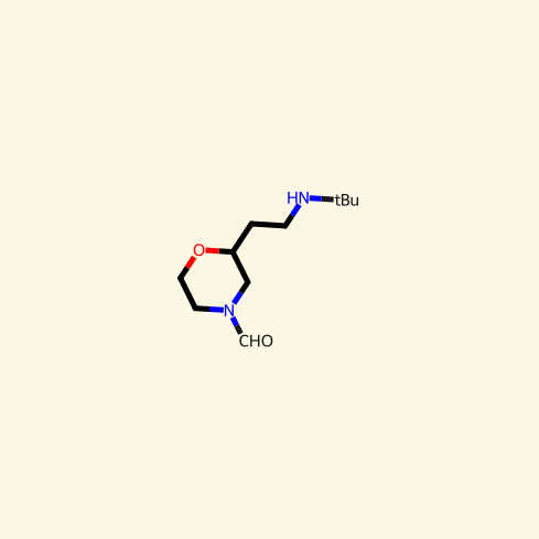 CC(C)(C)NCCC1CN(C=O)CCO1